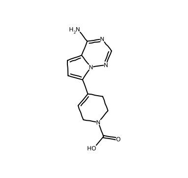 Nc1ncnn2c(C3=CCN(C(=O)O)CC3)ccc12